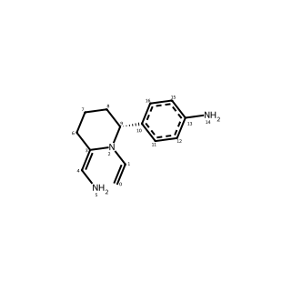 C=CN1/C(=C\N)CCC[C@@H]1c1ccc(N)cc1